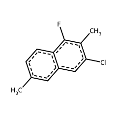 Cc1ccc2c(F)c(C)c(Cl)cc2c1